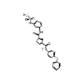 CS(=O)(=O)Nc1cccc(NC(=O)c2cc(C(=O)Nc3ccc(Oc4ccccc4)cc3)cs2)c1